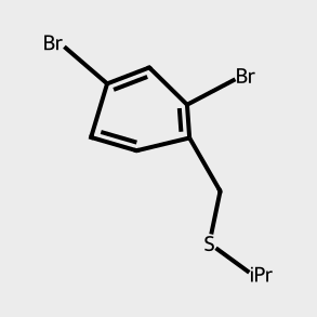 CC(C)SCc1ccc(Br)cc1Br